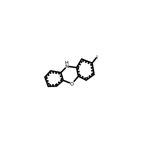 Ic1ccc2c(c1)Nc1ccccc1O2